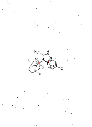 Cc1n[nH]c(C)c1S(=O)(=O)N1[C@@H]2CC[C@H]1C[C@H](Oc1ccc(Cl)cc1)C2